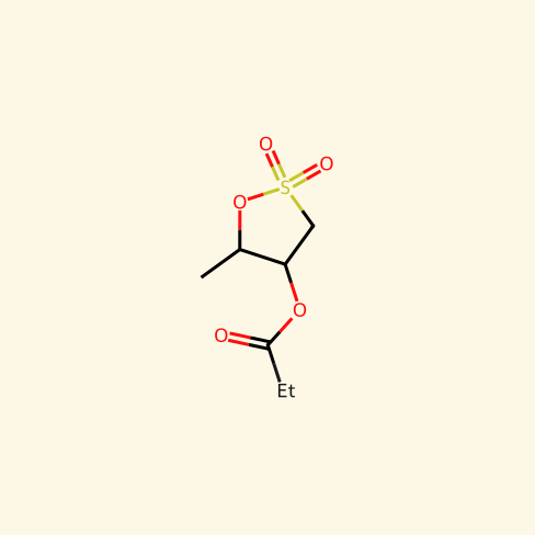 CCC(=O)OC1CS(=O)(=O)OC1C